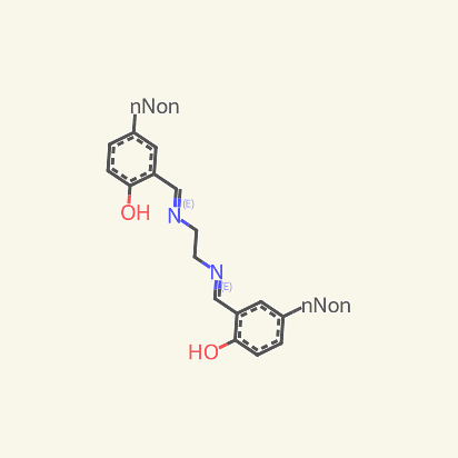 CCCCCCCCCc1ccc(O)c(/C=N/CC/N=C/c2cc(CCCCCCCCC)ccc2O)c1